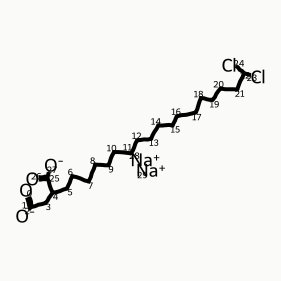 O=C([O-])CC(CCCCCCCCCCCCCCCCCC(Cl)Cl)C(=O)[O-].[Na+].[Na+]